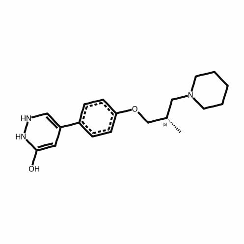 C[C@H](COc1ccc(C2=CNNC(O)=C2)cc1)CN1CCCCC1